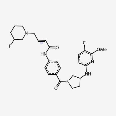 COc1nc(NC2CCN(C(=O)c3ccc(NC(=O)/C=C/CN4CCCC(F)C4)cc3)C2)ncc1Cl